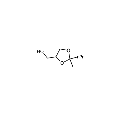 CCCC1(C)OCC(CO)O1